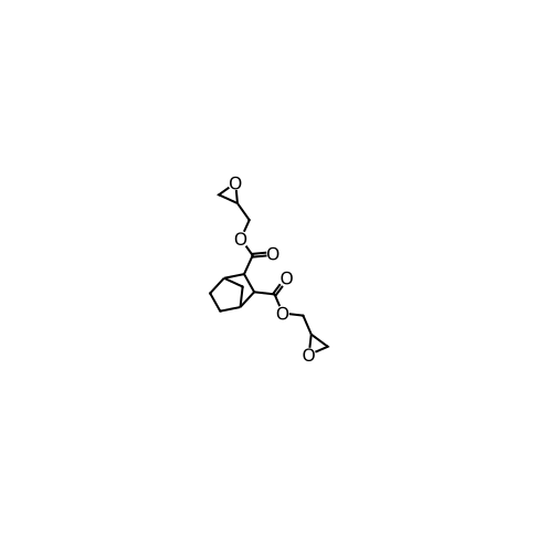 O=C(OCC1CO1)C1C2CCC(C2)C1C(=O)OCC1CO1